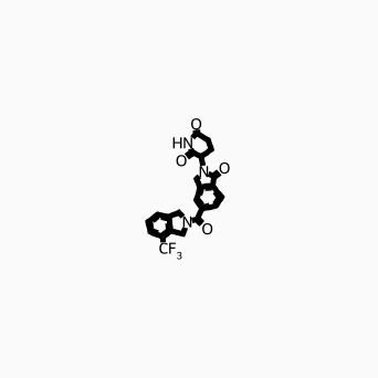 O=C1CCC(N2Cc3cc(C(=O)N4Cc5cccc(C(F)(F)F)c5C4)ccc3C2=O)C(=O)N1